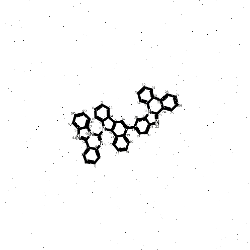 c1ccc2c(c1)nc(-n1c3ccccc3c3cc(-c4ccc5nc6c7ccccc7c7ccccc7n6c5c4)c4ccccc4c31)n1c3ccccc3nc21